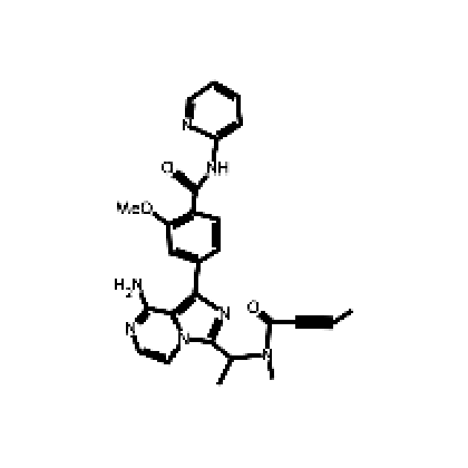 CC#CC(=O)N(C)C(C)c1nc(-c2ccc(C(=O)Nc3ccccn3)c(OC)c2)c2c(N)nccn12